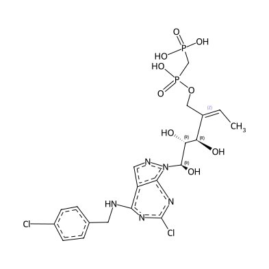 C/C=C(/COP(=O)(O)CP(=O)(O)O)[C@@H](O)[C@@H](O)[C@@H](O)n1ncc2c(NCc3ccc(Cl)cc3)nc(Cl)nc21